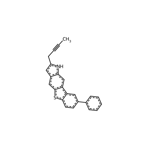 CC#CCc1cc2cc3sc4ccc(-c5ccccc5)cc4c3cc2[nH]1